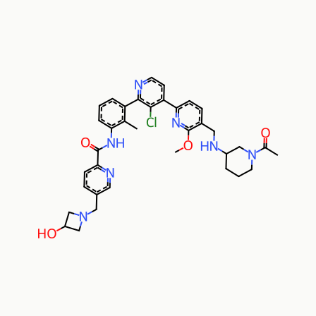 COc1nc(-c2ccnc(-c3cccc(NC(=O)c4ccc(CN5CC(O)C5)cn4)c3C)c2Cl)ccc1CNC1CCCN(C(C)=O)C1